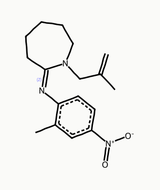 C=C(C)CN1CCCCC/C1=N/c1ccc([N+](=O)[O-])cc1C